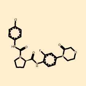 O=C(Nc1ccc(N2CCOCC2=O)cc1F)[C@H]1CCCN1C(=O)Nc1ccc(Cl)cc1